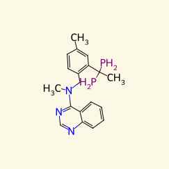 Cc1ccc(CN(C)c2ncnc3ccccc23)c(C(C)(P)P)c1